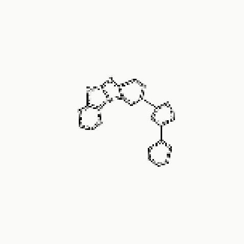 c1ccc(-c2cccc(-c3ccc4nc5oc6ccccc6n5c4c3)c2)cc1